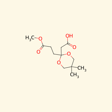 COC(=O)CCC1(CC(=O)O)OCC(C)(C)CO1